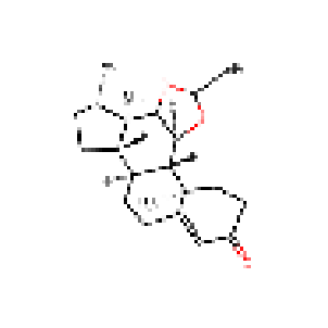 CCCC1OC2[C@@H](O1)[C@H]1[C@@H](CCC3=CC(=O)CC[C@@]31C)[C@@H]1CC[C@H](C(C)=O)[C@@]21C